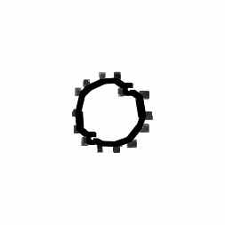 [CH]1CCC=CCCCCCC=CCC1